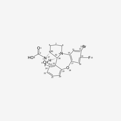 CN(C(=O)O)[C@@H]1CCCN2c3cc(Br)c(F)cc3Oc3cccc(F)c3[C@@H]12